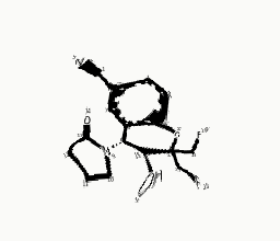 N#Cc1ccc2c(c1)[C@@H](N1CCCC1=O)[C@H](O)C(CF)(CF)O2